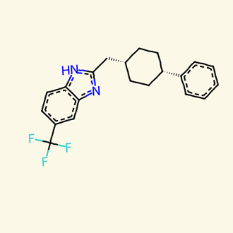 FC(F)(F)c1ccc2[nH]c(C[C@H]3CC[C@@H](c4ccccc4)CC3)nc2c1